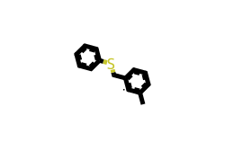 Cc1[c]c(CSc2ccccc2)ccc1